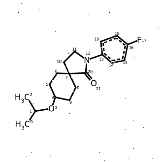 CC(C)OC1CCC2(CC1)CCN(c1ccc(F)cc1)C2=O